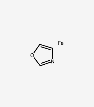 [Fe].c1cocn1